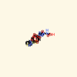 O=C(CO)NCCn1cnc2c(ncn2[C@@H]2O[C@@H]3COP(=O)(S)O[C@H]4[C@@H](F)[C@H](n5cc6c7c(ncnc75)SCCC6)O[C@@H]4COC(=O)O[C@@H]2[C@@H]3O)c1=O